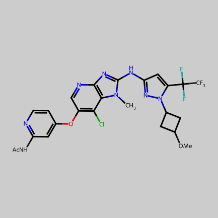 COC1CC(n2nc(Nc3nc4ncc(Oc5ccnc(NC(C)=O)c5)c(Cl)c4n3C)cc2C(F)(F)C(F)(F)F)C1